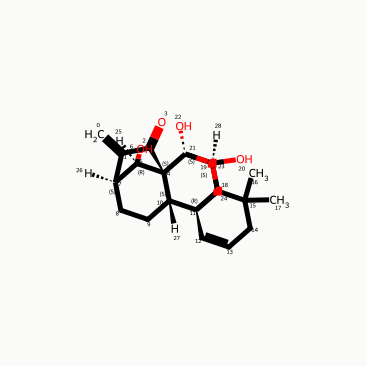 C=C1C(=O)[C@]23[C@H](O)[C@H]1CC[C@H]2[C@]12C=CCC(C)(C)C1[C@H](O)[C@@]3(O)OC2